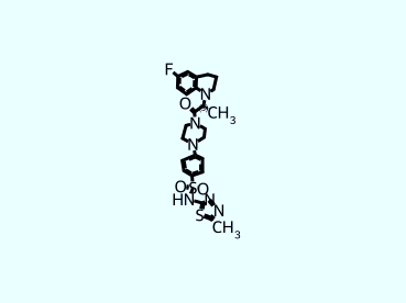 Cc1nnc(NS(=O)(=O)c2ccc(N3CCN(C(=O)[C@H](C)N4CCCc5cc(F)ccc54)CC3)cc2)s1